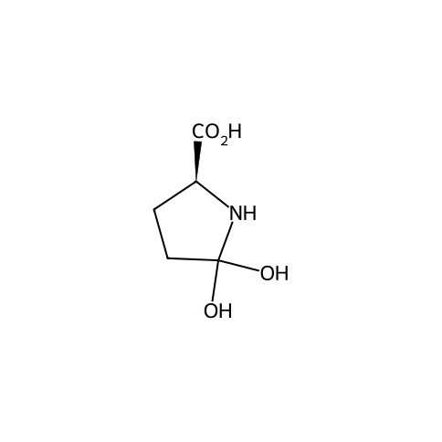 O=C(O)[C@@H]1CCC(O)(O)N1